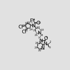 C=C(C)n1c(=O)n(CCN2CCC(N(C(=O)CC)c3ccc(Cl)c(Cl)c3)CC2)c2cccnc21